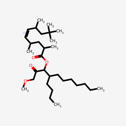 CCCCCCCC(CCCC)C(OC(=O)C(C)CC(C)/C=C\C(C)CC(C)(C)C)C(=O)COC